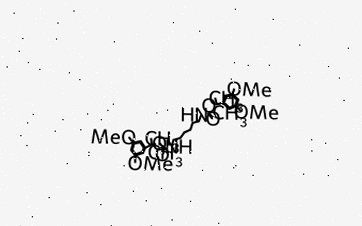 COc1cc(OC)cc(C(C)(C)OC(=O)NCCCCCCNC(=O)OC(C)(C)c2cc(OC)cc(OC)c2)c1